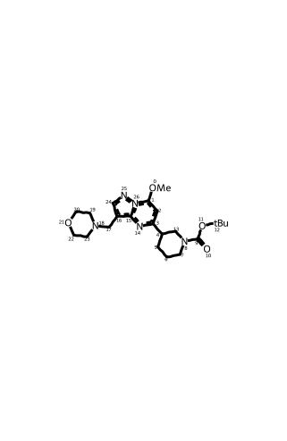 COc1cc(C2CCCN(C(=O)OC(C)(C)C)C2)nc2c(CN3CCOCC3)cnn12